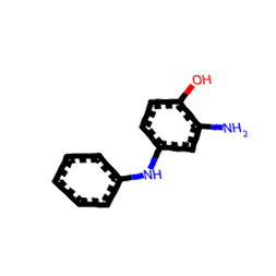 Nc1cc(Nc2ccccc2)ccc1O